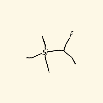 CC(F)[Si](C)(C)C